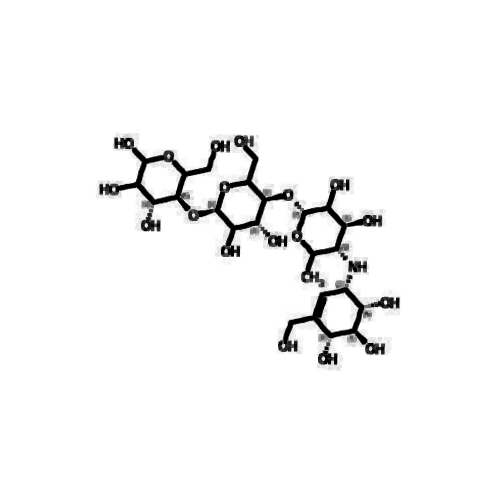 CC1O[C@H](O[C@@H]2C(CO)O[C@H](O[C@@H]3C(CO)OC(O)C(O)[C@H]3O)C(O)[C@H]2O)C(O)[C@@H](O)[C@@H]1N[C@H]1C=C(CO)[C@@H](O)[C@H](O)[C@H]1O